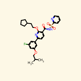 CC(C)COc1cc(F)cc(-c2ccc(C(=O)NS(=O)(=O)c3ccccn3)c(OCCC3CCCC3)n2)c1